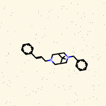 CC1(C)C2CN(CC=Cc3ccccc3)CC1CN(Cc1ccccc1)C2